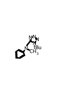 CN(Cc1nnnn1C(C)(C)C)c1ccccc1